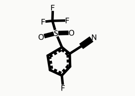 N#Cc1cc(F)ccc1S(=O)(=O)C(F)(F)F